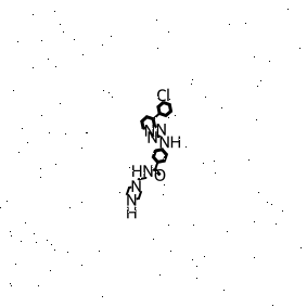 O=C(NCCN1CCNCC1)c1ccc(Nc2nc3c(-c4cccc(Cl)c4)cccn3n2)cc1